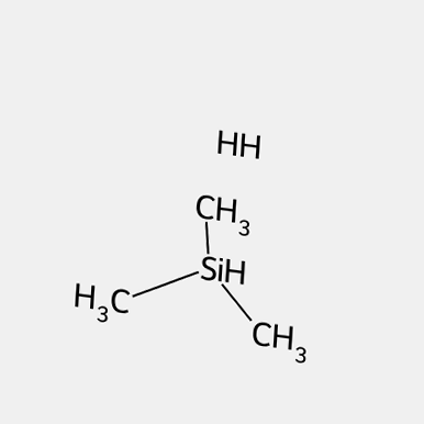 C[SiH](C)C.[HH]